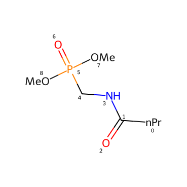 CCCC(=O)NCP(=O)(OC)OC